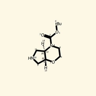 CC(C)(C)OC(=O)N1CCO[C@@H]2CNC[C@H]21